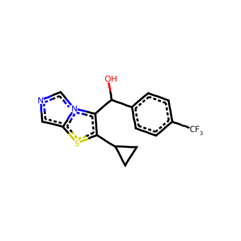 OC(c1ccc(C(F)(F)F)cc1)c1c(C2CC2)sc2cncn12